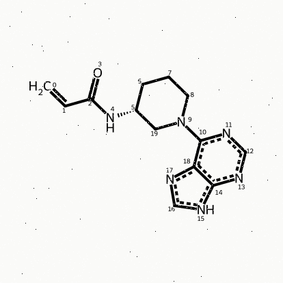 C=CC(=O)N[C@@H]1CCCN(c2ncnc3[nH]cnc23)C1